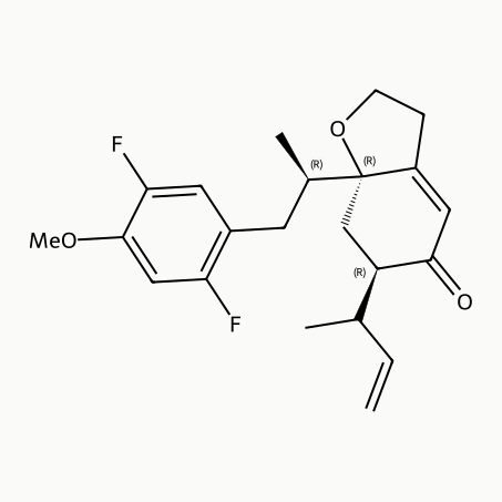 C=CC(C)[C@H]1C[C@]2([C@H](C)Cc3cc(F)c(OC)cc3F)OCCC2=CC1=O